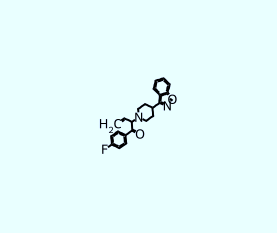 C=CC(C(=O)c1ccc(F)cc1)N1CCC(c2noc3ccccc23)CC1